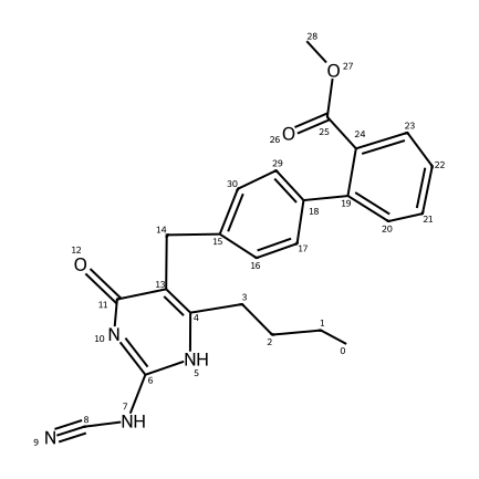 CCCCc1[nH]c(NC#N)nc(=O)c1Cc1ccc(-c2ccccc2C(=O)OC)cc1